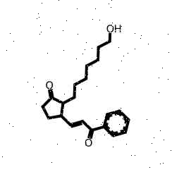 O=C(/C=C/C1CCC(=O)C1CCCCCCCO)c1ccccc1